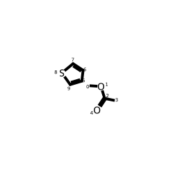 COC(C)=O.c1ccsc1